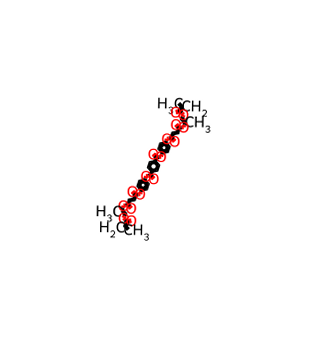 C=C(C)C(=O)OCC(C)OC(=O)CCC(=O)Oc1ccc(OC(=O)C2CCC(C(=O)Oc3ccc(OC(=O)CCC(=O)OC(C)COC(=O)C(=C)C)cc3)CC2)cc1